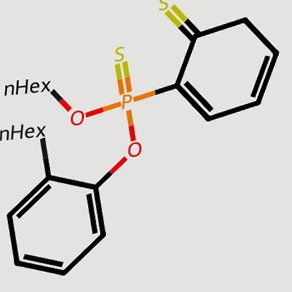 CCCCCCOP(=S)(Oc1ccccc1CCCCCC)C1=CC=CCC1=S